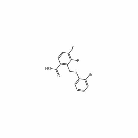 O=C(O)c1ccc(F)c(F)c1CSc1ccccc1Br